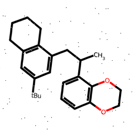 CC(Cc1cc(C(C)(C)C)cc2c1CCCC2)c1cccc2c1OCCO2